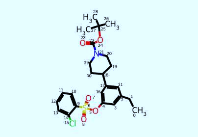 CCc1cc(OS(=O)(=O)c2ccccc2Cl)cc(C2CCN(C(=O)OC(C)(C)C)CC2)c1